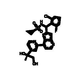 C[C@](O)(CO)c1ccnc(-c2ccnc3cc(C(NS(=O)(=O)C4CC4)c4c(F)cccc4Cl)sc23)c1